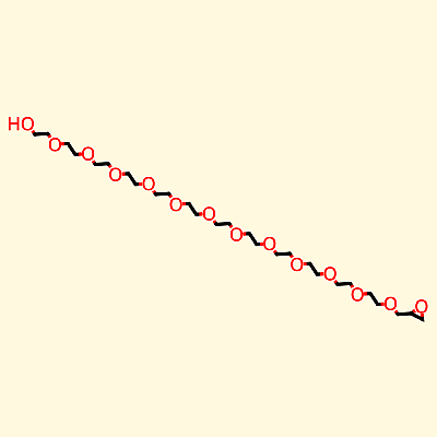 OCCOCCOCCOCCOCCOCCOCCOCCOCCOCCOCCOCCOCC1CO1